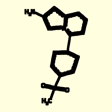 CS(=O)(=O)c1ccc(-c2cccc3cc(N)cn23)cc1